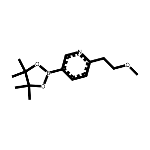 COCCc1ccc(B2OC(C)(C)C(C)(C)O2)cn1